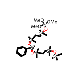 CO[Si](OC)(OC)O[Si](C)(C)CC[Si](C)(C)O[Si](C)(O[Si](C)(C)CC[Si](C)(C)O[Si](C)(C)C)c1ccccc1